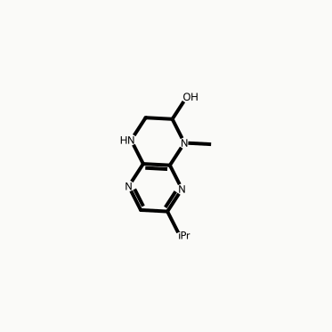 CC(C)c1cnc2c(n1)N(C)C(O)CN2